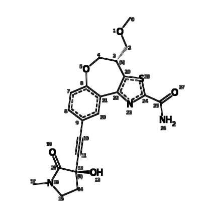 COC[C@H]1COc2ccc(C#C[C@]3(O)CCN(C)C3=O)cc2-c2nc(C(N)=O)sc21